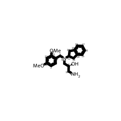 COc1ccc(CN(C[C@H](O)CN)C2Cc3ccccc3C2)c(OC)c1